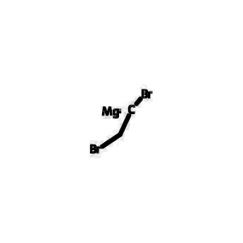 BrCCBr.[Mg]